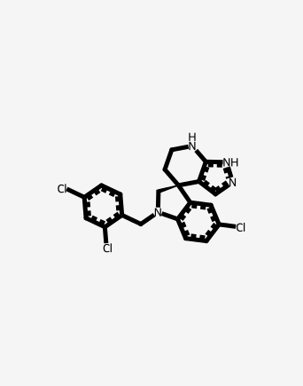 Clc1ccc(CN2C[C@]3(CCNc4[nH]ncc43)c3cc(Cl)ccc32)c(Cl)c1